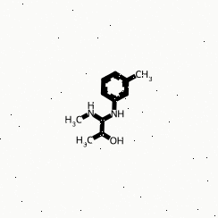 CNC(Nc1cccc(C)c1)C(C)O